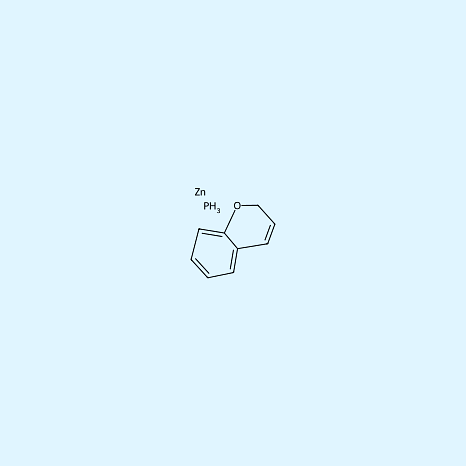 C1=Cc2ccccc2OC1.P.[Zn]